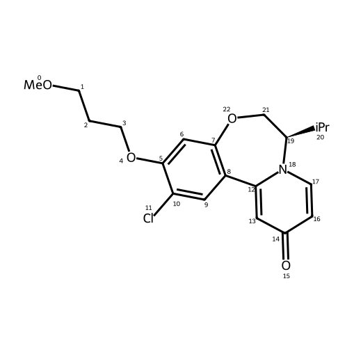 COCCCOc1cc2c(cc1Cl)-c1cc(=O)ccn1[C@H](C(C)C)CO2